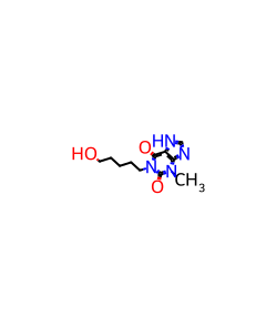 Cn1c(=O)n(CCCCCO)c(=O)c2[nH]cnc21